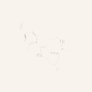 O=Cc1ccc(-c2[nH]c3cc(F)cc4c3c2CCNC4=O)c(Cl)c1